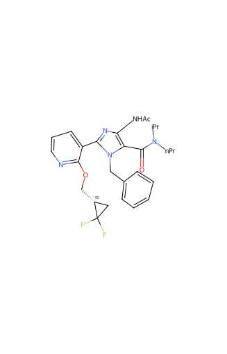 CCCN(C(=O)c1c(NC(C)=O)nc(-c2cccnc2OC[C@@H]2CC2(F)F)n1Cc1ccccc1)C(C)C